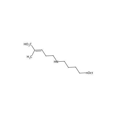 CCCCCCCCCCCCNCCC=C(C)C(=O)O